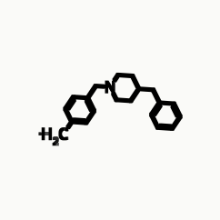 [CH2]c1ccc(CN2CCC(Cc3ccccc3)CC2)cc1